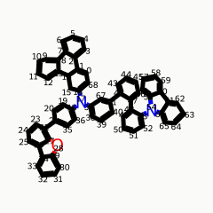 C1=C2c3ccccc3-c3ccccc3C2CC(N(c2ccc(-c3cccc4c3oc3ccccc34)cc2)c2cccc(-c3ccccc3-c3ccccc3-n3c4ccccc4c4ccccc43)c2)=C1